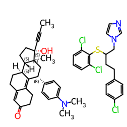 CC#C[C@]1(O)CC[C@H]2[C@@H]3CCC4=CC(=O)CCC4=C3[C@@H](c3ccc(N(C)C)cc3)C[C@@]21C.Clc1ccc(CCC(Cn2ccnc2)Sc2c(Cl)cccc2Cl)cc1